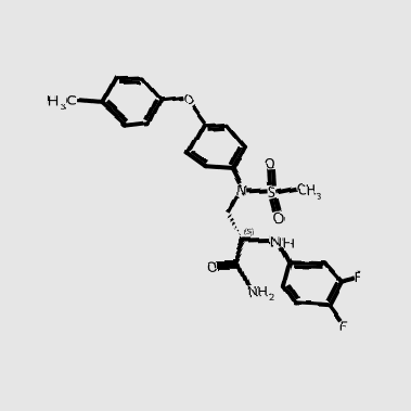 Cc1ccc(Oc2ccc(N(C[C@H](Nc3ccc(F)c(F)c3)C(N)=O)S(C)(=O)=O)cc2)cc1